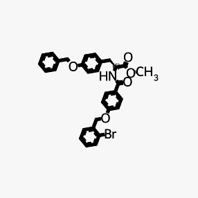 COC(=O)[C@H](Cc1ccc(OCc2ccccc2)cc1)NC(=O)c1ccc(OCc2ccccc2Br)cc1